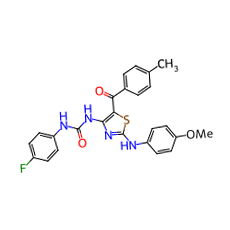 COc1ccc(Nc2nc(NC(=O)Nc3ccc(F)cc3)c(C(=O)c3ccc(C)cc3)s2)cc1